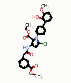 CCOC(=O)c1c(NC(=O)Cc2cccc(C(=O)OC)c2)cc(Cl)n1-c1ccc(-c2cccc(OC)c2O)cc1